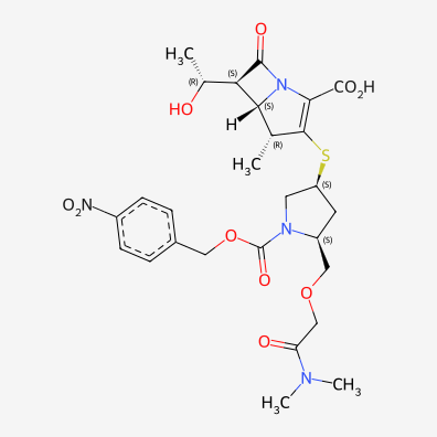 C[C@@H](O)[C@H]1C(=O)N2C(C(=O)O)=C(S[C@H]3C[C@@H](COCC(=O)N(C)C)N(C(=O)OCc4ccc([N+](=O)[O-])cc4)C3)[C@H](C)[C@H]12